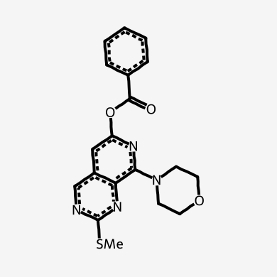 CSc1ncc2cc(OC(=O)c3ccccc3)nc(N3CCOCC3)c2n1